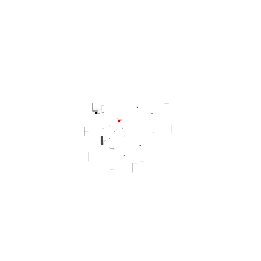 CCC12C(F)(F)C3(F)C(F)(F)C(F)(C(F)(F)C(F)(C3(F)F)C1(F)F)C2(F)F